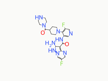 NC1NN2C=C(F)C=NC2=C1C(=O)Nc1cncc(F)c1N1CCC(C(=O)N2CCNCC2)CC1